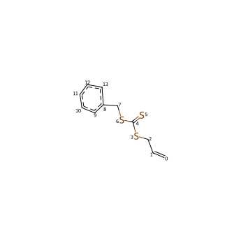 C=CCSC(=S)SCc1ccccc1